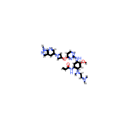 C=CC(=O)Nc1cc(Nc2nccc(OC3CN(c4cnc5c(cnn5C)c4)C3)n2)c(OC)cc1N(C)CCN(C)C